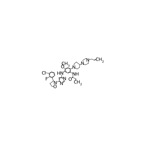 C=CCN1CCN(C2CCN(c3cc(OC)c(Nc4cc(N5OCCC5c5cccc(Cl)c5F)ncn4)cc3NC(=O)C=C)CC2)CC1